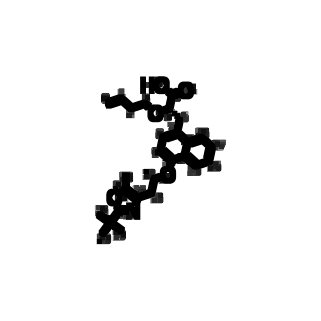 C=CCCO[C@@H](Cc1ccc(OCCc2nc(C(C)(C)C)oc2C)c2ccccc12)C(=O)O